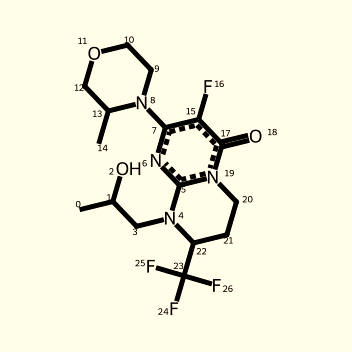 CC(O)CN1c2nc(N3CCOCC3C)c(F)c(=O)n2CCC1C(F)(F)F